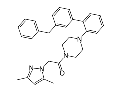 Cc1cc(C)n(CC(=O)N2CCN(c3ccccc3-c3cccc(Cc4ccccc4)c3)CC2)n1